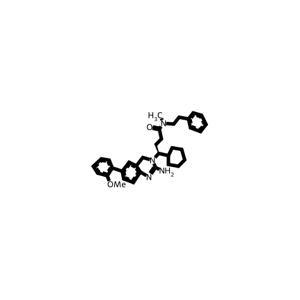 COc1ccccc1-c1ccc2c(c1)CN([C@@H](CCC(=O)N(C)CCc1ccccc1)C1CCCCC1)C(N)=N2